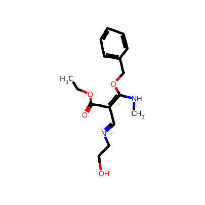 CCOC(=O)C(/C=N/CCO)=C(/NC)OCc1ccccc1